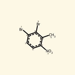 Cc1c([N+](=O)[O-])ccc(Br)c1Br